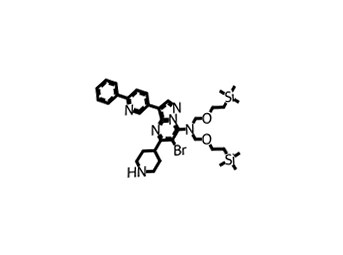 C[Si](C)(C)CCOCN(COCC[Si](C)(C)C)c1c(Br)c(C2CCNCC2)nc2c(-c3ccc(-c4ccccc4)nc3)cnn12